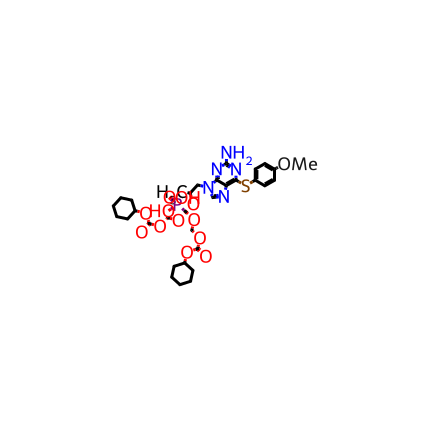 COc1ccc(Sc2nc(N)nc3c2ncn3CC(C)OC(OCOC(=O)OC2CCCCC2)(OCOC(=O)OC2CCCCC2)P(=O)(O)O)cc1